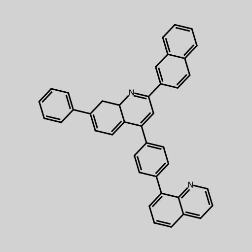 C1=C(c2ccccc2)CC2N=C(c3ccc4ccccc4c3)C=C(c3ccc(-c4cccc5cccnc45)cc3)C2=C1